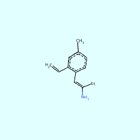 C=Cc1cc(C)ccc1/C=C(/N)CC